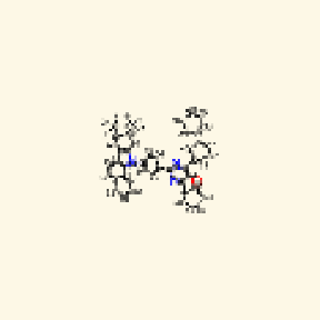 CC1(C)CCC(C)(C)c2cc3c(cc21)c1ccc2ccccc2c1n3-c1ccc(-c2nc(-c3cccc(-c4ccccc4)c3)c3oc4c(c3n2)=CCCC=4)cc1